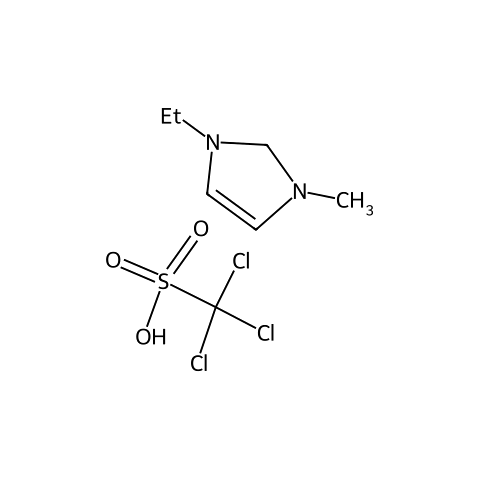 CCN1C=CN(C)C1.O=S(=O)(O)C(Cl)(Cl)Cl